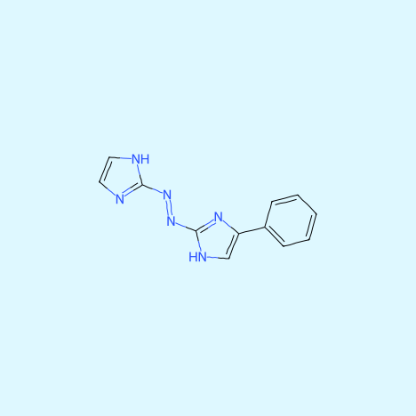 c1ccc(-c2c[nH]c(N=Nc3ncc[nH]3)n2)cc1